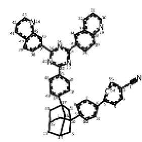 N#Cc1ccc(-c2ccc(C34CC5CC(C3)CC(c3ccc(-c6nc(-c7ccc8ncccc8c7)nc(-c7ccc8cccnc8c7)n6)cc3)(C5)C4)cc2)cc1